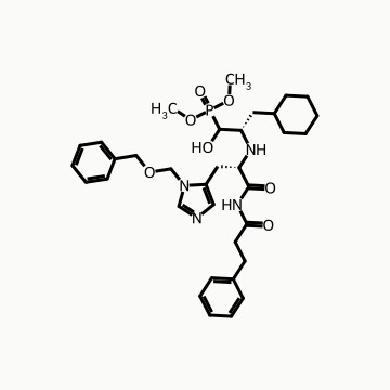 COP(=O)(OC)C(O)[C@H](CC1CCCCC1)N[C@@H](Cc1cncn1COCc1ccccc1)C(=O)NC(=O)CCc1ccccc1